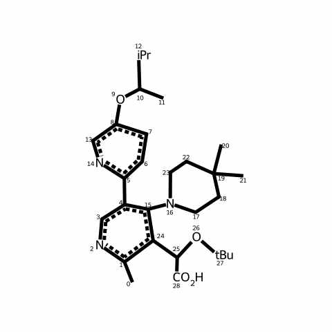 Cc1ncc(-c2ccc(OC(C)C(C)C)cn2)c(N2CCC(C)(C)CC2)c1C(OC(C)(C)C)C(=O)O